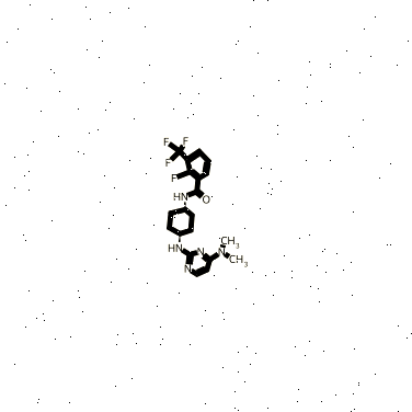 CN(C)c1ccnc(N[C@H]2CC[C@@H](NC(=O)c3cccc(C(F)(F)F)c3F)CC2)n1